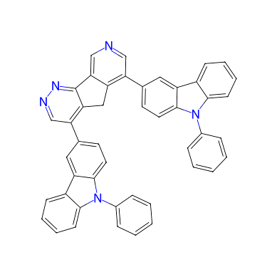 c1ccc(-n2c3ccccc3c3cc(-c4cncc5c4Cc4c(-c6ccc7c(c6)c6ccccc6n7-c6ccccc6)cnnc4-5)ccc32)cc1